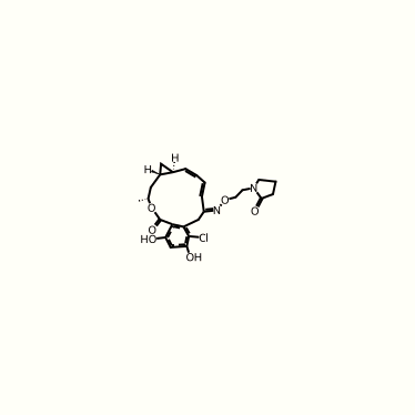 C[C@@H]1C[C@@H]2C[C@H]2\C=C/C=C/C(=N\OCCN2CCCC2=O)Cc2c(Cl)c(O)cc(O)c2C(=O)O1